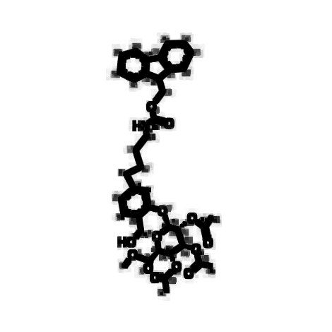 COC(=O)[C@H]1O[C@@H](Oc2cc(CCCCNC(=O)OCC3c4ccccc4-c4ccccc43)ccc2CO)[C@H](OC(C)=O)[C@@H](OC(C)=O)[C@@H]1OC(C)=O